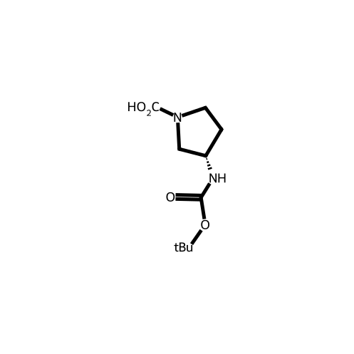 CC(C)(C)OC(=O)N[C@H]1CCN(C(=O)O)C1